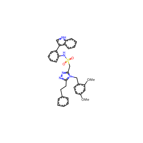 COc1ccc(Cn2c(CCc3ccccc3)nnc2CS(=O)(=O)Nc2ccccc2-c2c[nH]c3ccccc23)c(OC)c1